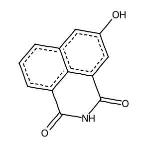 O=C1NC(=O)c2cc(O)cc3cccc1c23